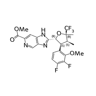 COC(=O)c1cc2[nH]c([C@@H]3O[C@@](C)(C(F)(F)F)[C@@H](C)[C@H]3c3ccc(F)c(F)c3OC)nc2cn1